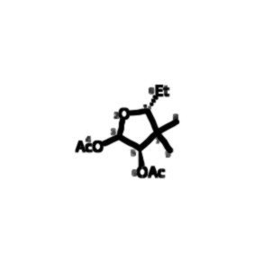 CC[C@H]1OC(OC(C)=O)[C@H](OC(C)=O)C1(C)C